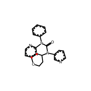 O=C(N(c1ccccc1)c1ncccn1)N(c1cccnc1)C1CCOCC1